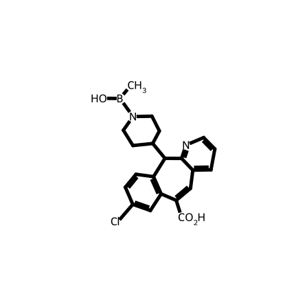 CB(O)N1CCC(C2c3ccc(Cl)cc3C(C(=O)O)=Cc3cccnc32)CC1